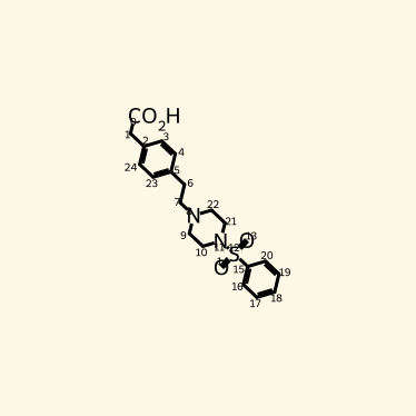 O=C(O)Cc1ccc(CCN2CCN(S(=O)(=O)c3ccccc3)CC2)cc1